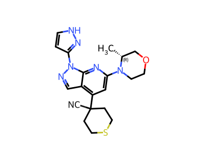 C[C@@H]1COCCN1c1cc(C2(C#N)CCSCC2)c2cnn(-c3cc[nH]n3)c2n1